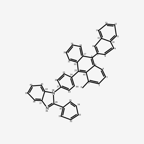 Cc1cccc2c(-c3ccc4ccccc4c3)c3ccccc3c(-c3ccc(-n4c(-c5ccccc5)nc5ccccc54)cc3)c12